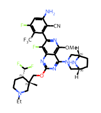 CCN1CC[C@H](C(F)F)[C@](C)(COc2nc(N3C[C@H]4CC[C@@H](C3)N4)c3c(OC)nc(-c4c(C#N)c(N)cc(F)c4C(F)(F)F)c(F)c3n2)C1